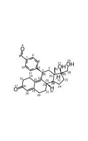 C[C@]12C[C@H](c3ccc(C=O)cc3)C3=C4CCC(=O)C=C4CC[C@H]3[C@@H]1CC[C@@]2(O)CO